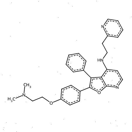 CN(C)CCOc1ccc(-c2oc3nccc(NCCc4ccccn4)c3c2-c2ccccc2)cc1